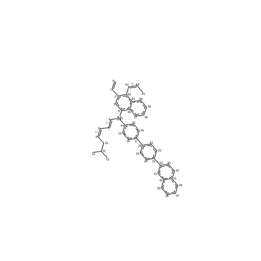 C=Cc1cc(N(/C=C/C=C\CC(C)C)c2ccc(-c3ccc(-c4ccc5ccccc5c4)cc3)cc2)c2ccccc2c1/C=C\C